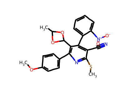 COc1ccc(-c2nc(SC)c(C#N)c(-c3ccccc3[N+](=O)[O-])c2C2OC(C)O2)cc1